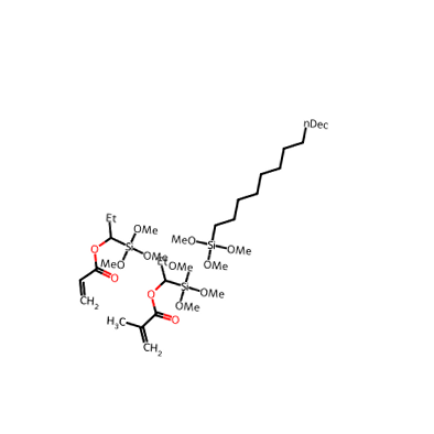 C=C(C)C(=O)OC(CC)[Si](OC)(OC)OC.C=CC(=O)OC(CC)[Si](OC)(OC)OC.CCCCCCCCCCCCCCCCCC[Si](OC)(OC)OC